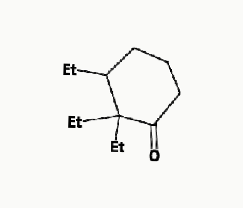 CCC1CCCC(=O)C1(CC)CC